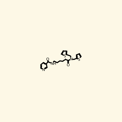 O=C(NCCCC[CH]C(=O)N(Cc1cccs1)Cc1cccs1)c1cccnc1